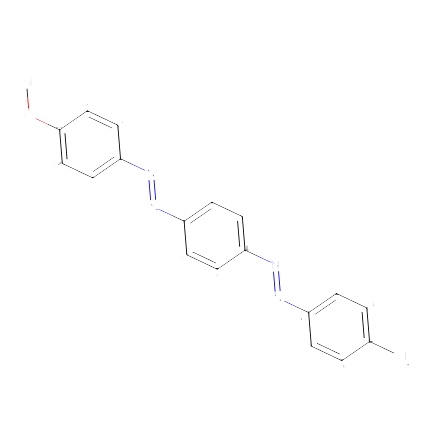 CCCOc1ccc(N=Nc2ccc(N=Nc3ccc(C)cc3)cc2)cc1